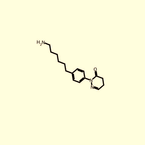 NCCCCCCc1ccc(N2N=CCCC2=O)cc1